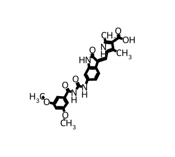 COc1cc(OC)cc(C(=O)NC(=O)Nc2ccc3c(c2)NC(=O)C3=Cc2[nH]c(C)c(C(=O)O)c2C)c1